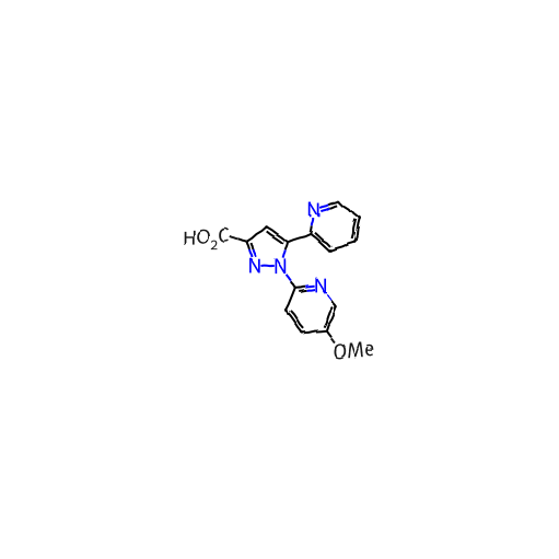 COc1ccc(-n2nc(C(=O)O)cc2-c2ccccn2)nc1